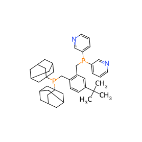 CC(C)(C)c1ccc(CP(C23CC4CC(CC(C4)C2)C3)C23CC4CC(CC(C4)C2)C3)c(CP(c2cccnc2)c2cccnc2)c1